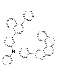 c1ccc(-c2ccc(-c3cccc(N(c4ccccc4)c4ccc(-c5ccc6ccc7ccc8ccccc8c7c6c5)cc4)c3)c3ccccc23)cc1